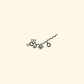 CCCCCCCCC(CCCn1nnnc1CC(=O)Nc1c(OC)cc(OC)cc1OC)c1ccccc1